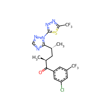 C[C@H](C[C@H](C)C(=O)c1cc(Cl)cc(C(F)(F)F)c1)c1ncnn1-c1nnc(C(F)(F)F)s1